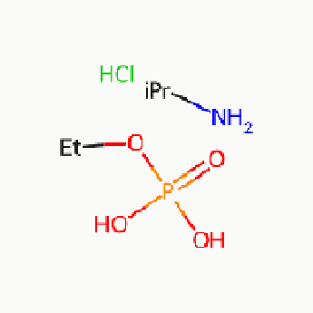 CC(C)N.CCOP(=O)(O)O.Cl